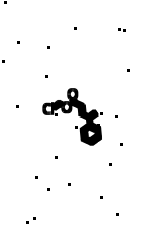 C=C(C=CC(=O)OCCl)c1ccccc1